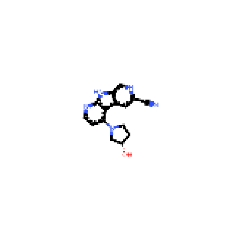 N#Cc1cc2c(cn1)[nH]c1nccc(N3CC[C@H](O)C3)c12